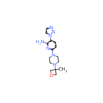 CC1(N2CCN(c3ccc(-n4ccnn4)c(N)n3)CC2)COC1